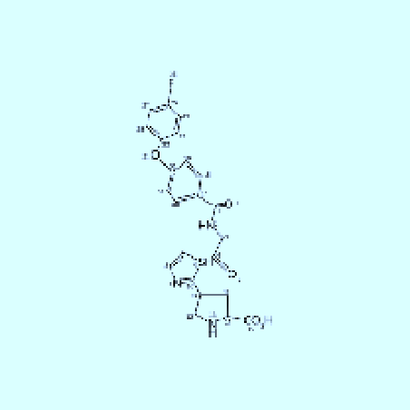 O=C(NCC(=O)[SH]1C=CN=C1C1CNC(C(=O)O)C1)c1ccc(Oc2ccc(F)cc2)cc1